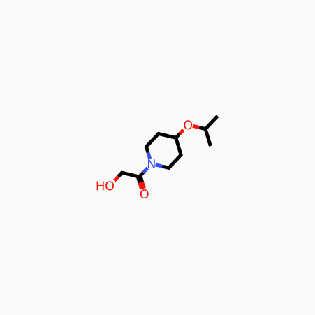 CC(C)OC1CCN(C(=O)CO)CC1